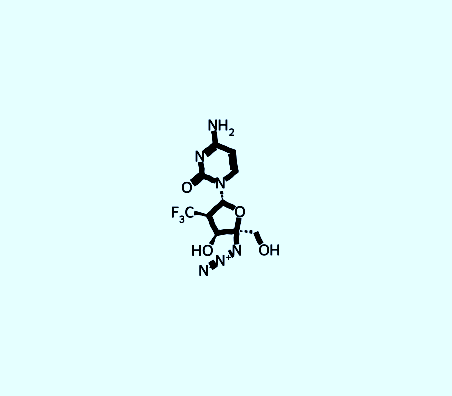 [N-]=[N+]=N[C@]1(CO)O[C@@H](n2ccc(N)nc2=O)[C@H](C(F)(F)F)[C@@H]1O